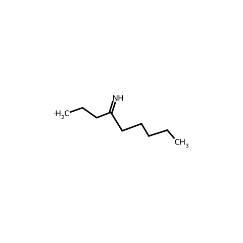 [CH2]CCC(=N)CCCCC